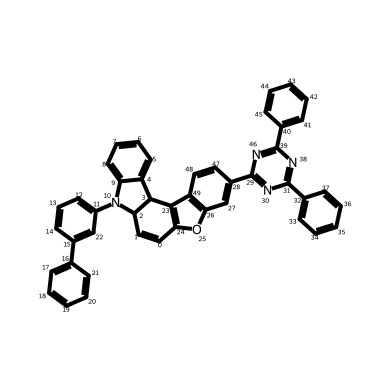 C1=CC2C(c3ccccc3N2c2cccc(-c3ccccc3)c2)c2c1oc1cc(-c3nc(-c4ccccc4)nc(-c4ccccc4)n3)ccc21